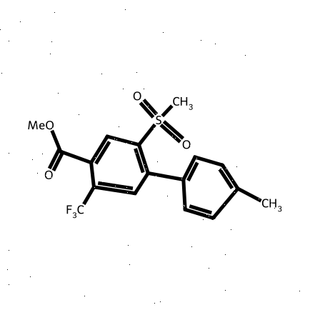 COC(=O)c1cc(S(C)(=O)=O)c(-c2ccc(C)cc2)cc1C(F)(F)F